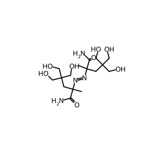 CC(CC(CO)(CO)CO)(N=NC(C)(CC(CO)(CO)CO)C(N)=O)C(N)=O